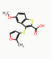 COc1ccc2sc(C(=O)O)c(Sc3ccoc3C)c2c1